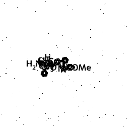 COc1ccc(-n2nnnc2-c2ccccc2-c2ccc(N(C)C(=O)[C@@H](CCc3ccccc3)NC(=O)CC(C)(C)N)cc2)cc1